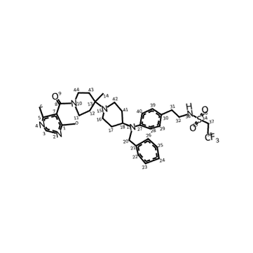 Cc1ncnc(C)c1C(=O)N1CCC(C)(N2CCC(N(Cc3ccccc3)c3ccc(CCNS(=O)(=O)CC(F)(F)F)cc3)CC2)CC1